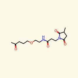 CC(=O)CCCOCCNC(=O)CCN1C(=O)CC(C)C1=O